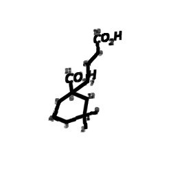 CC1(C)CCCC(CCCC(=O)O)(C(=O)O)C1